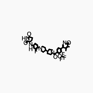 Cc1c(-c2ccc(C(=O)N3CCC(C4CCN(c5ccc(NC6CCC(=O)NC6=O)cc5F)CC4)CC3)c(OC(F)(F)F)c2)cn(C)c(=O)c1C